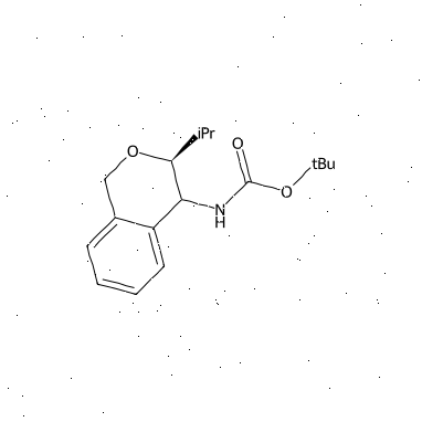 CC(C)[C@@H]1OCc2ccccc2C1NC(=O)OC(C)(C)C